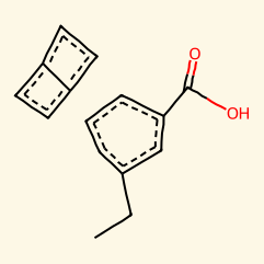 CCc1cccc(C(=O)O)c1.c1cc2ccc1-2